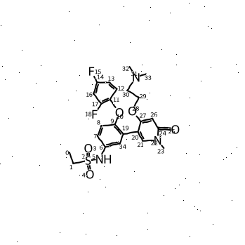 CCS(=O)(=O)Nc1ccc(Oc2ccc(F)cc2F)c(-c2cn(C)c(=O)cc2OCCN(C)C)c1